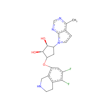 Cc1ncnc2c1ccn2C1CC(Oc2cc(F)c(F)c3c2CNCC3)[C@@H](O)[C@H]1O